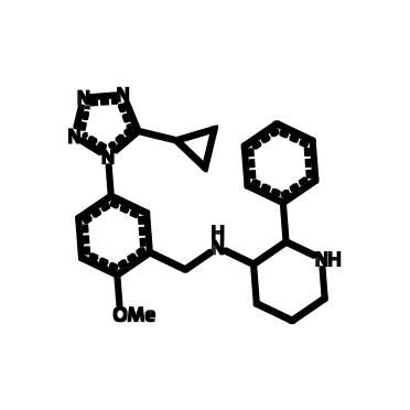 COc1ccc(-n2nnnc2C2CC2)cc1CNC1CCCNC1c1ccccc1